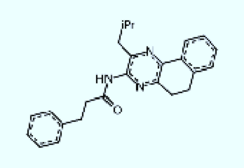 CC(C)Cc1nc2c(nc1NC(=O)CCc1ccccc1)CCc1ccccc1-2